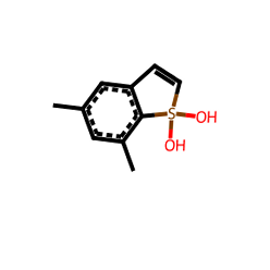 Cc1cc(C)c2c(c1)C=CS2(O)O